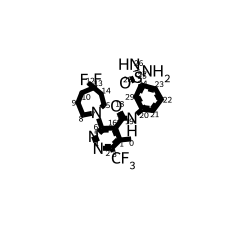 Cc1c(C(F)(F)F)nnc(N2CCCC(F)(F)CC2)c1C(=O)Nc1cccc(S(=N)(N)=O)c1